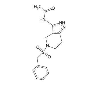 CC(=O)Nc1[nH]nc2c1CN(S(=O)(=O)Cc1ccccc1)CC2